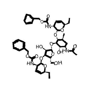 CC[C@H]1C=C[C@@H](NC(=O)OCc2ccccc2)[C@@H](O[C@H]2[C@@H](O)[C@H](O[C@@H]3[C@@H](O)[C@H](NC(C)=O)C[C@H](C)[C@H]3O[C@H]3O[C@H](CC)C=C[C@H]3NC(=O)OCc3ccccc3)O[C@@H]2CO)O1